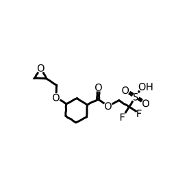 O=C(OCC(F)(F)S(=O)(=O)O)C1CCCC(OCC2CO2)C1